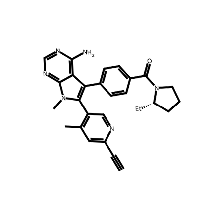 C#Cc1cc(C)c(-c2c(-c3ccc(C(=O)N4CCC[C@@H]4CC)cc3)c3c(N)ncnc3n2C)cn1